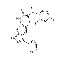 Cc1cc(-c2n[nH]c3cc4c(cc23)CN(C(C)c2ccc(F)cc2F)C(=O)N4)ccn1